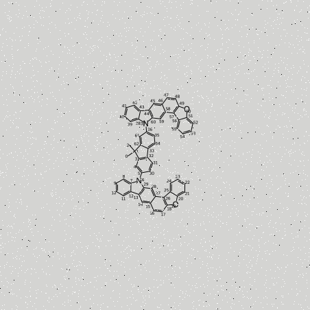 CC1(C)c2cc(-n3c4ccccc4c4cc5ccc6oc7ccccc7c6c5cc43)ccc2-c2ccc(-n3c4ccccc4c4cc5ccc6oc7ccccc7c6c5cc43)cc21